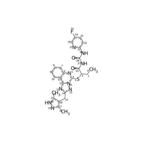 CCC(Sc1nc2ccccc2c2nc(Cc3c(C)n[nH]c3C)nn12)C(=O)NC(=O)Nc1ccc(F)cn1